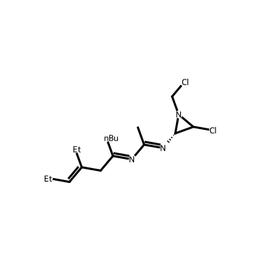 CC/C=C(\CC)C/C(CCCC)=N/C(C)=N/[C@H]1C(Cl)N1CCl